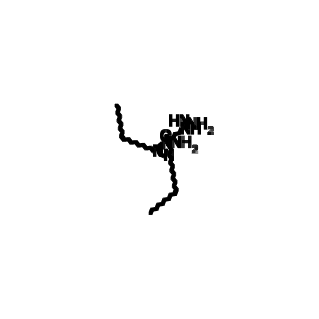 CCCCCCCC/C=C\CCCCCCCCN1CCN(CCCCCCCC/C=C\CCCCCCCC)CCN(C(=O)[C@@H](N)CCCNC(=N)N)CC1